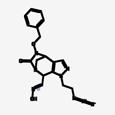 [N-]=[N+]=NCCn1ncc2c1C(/C=N/O)N1CC2N(OCc2ccccc2)C1=O